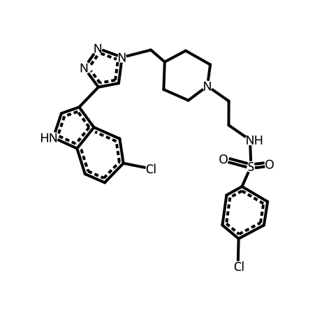 O=S(=O)(NCCN1CCC(Cn2cc(-c3c[nH]c4ccc(Cl)cc34)nn2)CC1)c1ccc(Cl)cc1